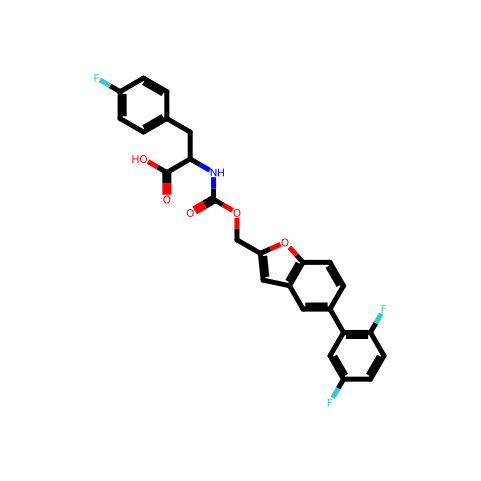 O=C(NC(Cc1ccc(F)cc1)C(=O)O)OCc1cc2cc(-c3cc(F)ccc3F)ccc2o1